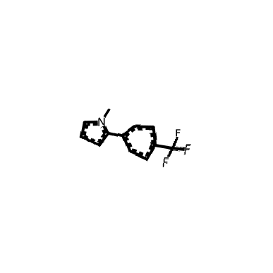 Cn1cccc1-c1ccc(C(F)(F)F)cc1